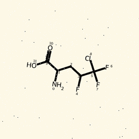 NC(CC(F)C(F)(F)Cl)C(=O)O